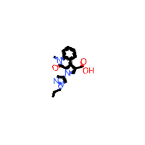 CCCn1cc(-n2cc(C(=O)O)c3c4ccccc4n(C)c(=O)c32)cn1